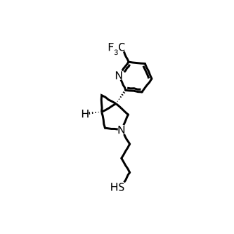 FC(F)(F)c1cccc([C@@]23C[C@@H]2CN(CCCS)C3)n1